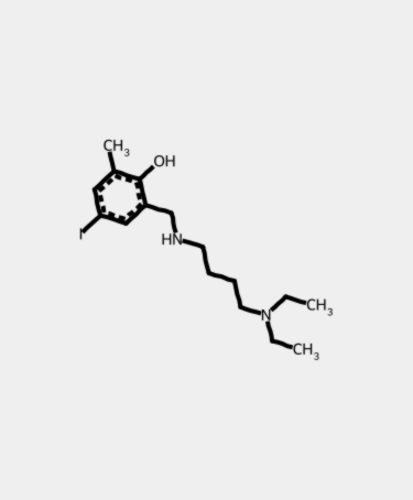 CCN(CC)CCCCNCc1cc(I)cc(C)c1O